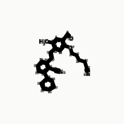 Cc1cc(C=O)c(OCCCCC#N)cc1/C=C/c1cccc(-c2ccccc2)c1C#N